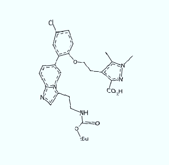 Cc1c(CCOc2ccc(Cl)cc2-c2ccc3ncc(CCNC(=O)OC(C)(C)C)n3c2)c(C(=O)O)nn1C